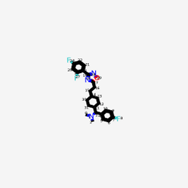 CN(C)C(c1ccc(F)cc1)C1CCC(CCc2nc(-c3ccc(F)cc3F)no2)CC1